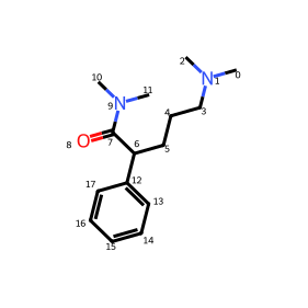 CN(C)CCCC(C(=O)N(C)C)c1ccccc1